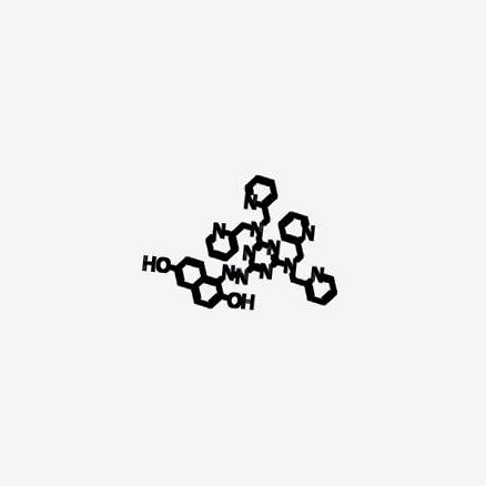 Oc1ccc2c(/N=N/c3nc(N(Cc4ccccn4)Cc4ccccn4)nc(N(Cc4ccccn4)Cc4ccccn4)n3)c(O)ccc2c1